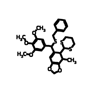 COc1cc(C(SCc2ccccc2)C2=CC3=C(OCO3)C(C)C2C2SCCCS2)cc(OC)c1OC